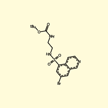 CC(C)(C)OC(=O)NCCNS(=O)(=O)c1cc(Br)cc2cnccc12